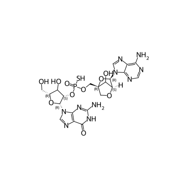 Nc1nc2c(ncn2[C@@H]2O[C@H](CO)C(O)[C@@H]2OP(=O)(S)OC[C@]23CO[C@@H](C2O)[C@H](n2cnc4c(N)ncnc42)O3)c(=O)[nH]1